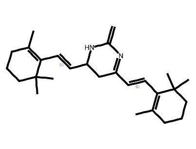 C=C1N=C(/C=C/C2=C(C)CCCC2(C)C)CC(/C=C/C2=C(C)CCCC2(C)C)N1